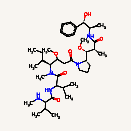 CCC(C)[C@@H](C(CC(=O)N1CCC[C@H]1[C@H](OC)[C@@H](C)C(=O)N[C@H](C)[C@@H](O)c1ccccc1)OC)N(C)C(=O)C(NC(=O)C(NC)C(C)C)C(C)C